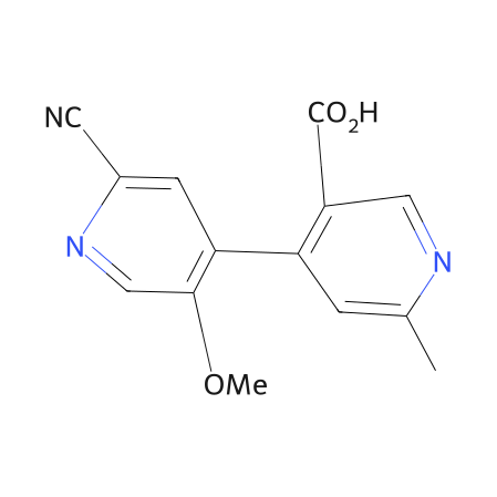 COc1cnc(C#N)cc1-c1cc(C)ncc1C(=O)O